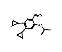 CC(C)Oc1cc(C2CC2)c(C2CC2)cc1C=O